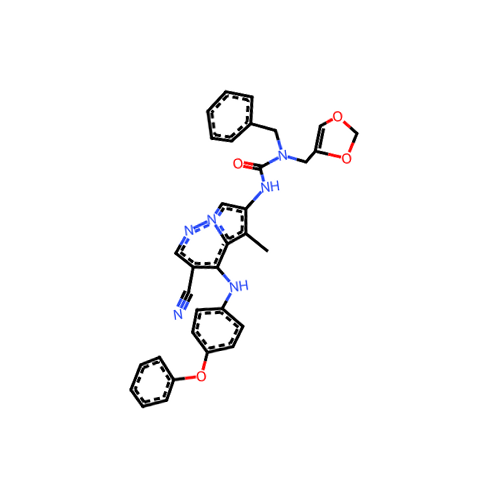 Cc1c(NC(=O)N(CC2=COCO2)Cc2ccccc2)cn2ncc(C#N)c(Nc3ccc(Oc4ccccc4)cc3)c12